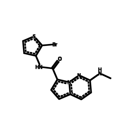 CNc1ccc2ccc(C(=O)Nc3ccsc3Br)n2n1